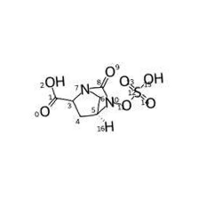 O=C(O)C1C[C@H]2CN1C(=O)N2OS(=O)(=O)O